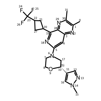 Cc1nc2cc(N3CCO[C@@H](c4cnn(C)c4)C3)nc(C3CC(C(F)(F)F)C3)c2nc1C